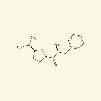 CN(C)[C@@H]1CCN(C(=O)[C@@H](N)Cc2ccccc2)C1